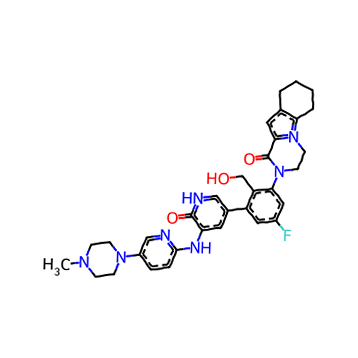 CN1CCN(c2ccc(Nc3cc(-c4cc(F)cc(N5CCn6c(cc7c6CCCC7)C5=O)c4CO)c[nH]c3=O)nc2)CC1